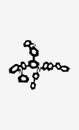 c1ccc(-c2ccc(N(c3cc(-c4ccc5sc6ccccc6c5c4)cc(-c4ccc5c6ccccc6n(-c6ccccc6)c5c4)c3)c3ccc4cc(-c5ccc6ccccc6c5)ccc4c3)cc2)cc1